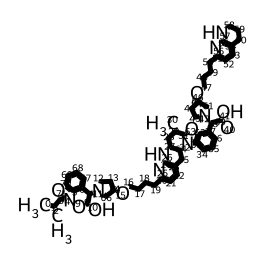 CC(C)c1nc2c(C(C(=O)O)N3CC[C@@H](OCCCCc4ccc5c(n4)NC(CC(C)c4nc6cccc(C(C(=O)O)N7CC[C@@H](OCCCCc8ccc9c(n8)NCCC9)C7)c6o4)CC5)C3)cccc2o1